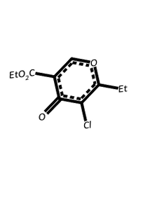 CCOC(=O)c1coc(CC)c(Cl)c1=O